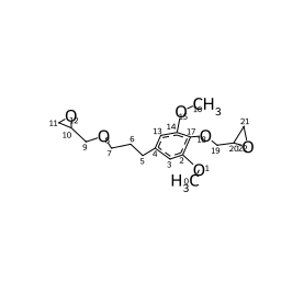 COc1cc(CCCOCC2CO2)cc(OC)c1OCC1CO1